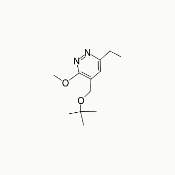 CCc1cc(COC(C)(C)C)c(OC)nn1